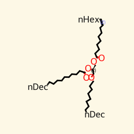 CCCCCC/C=C\CCCCCCCC(=O)OC[C@@H](COCCCCCCCCCCCCCCCCCC)OC(=O)CCCCCCCCCCCCCCCCCCC